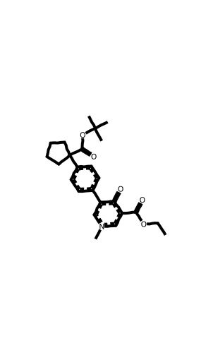 CCOC(=O)c1cn(C)cc(-c2ccc(C3(C(=O)OC(C)(C)C)CCCC3)cc2)c1=O